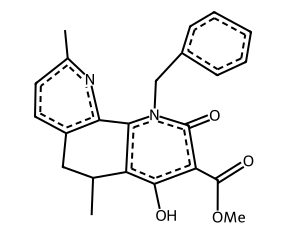 COC(=O)c1c(O)c2c(n(Cc3ccccc3)c1=O)-c1nc(C)ccc1CC2C